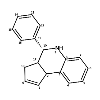 C1=CC2c3ccccc3N[C@@H](c3ccccc3)C2C1